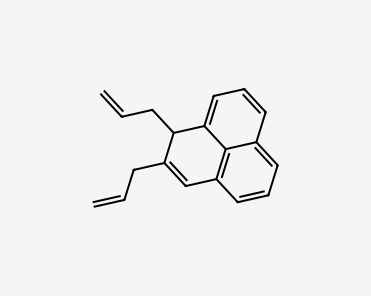 C=CCC1=Cc2cccc3cccc(c23)C1CC=C